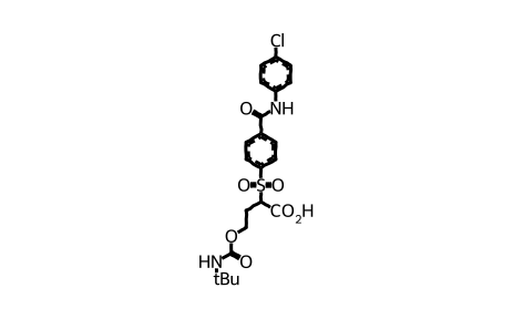 CC(C)(C)NC(=O)OCCC(C(=O)O)S(=O)(=O)c1ccc(C(=O)Nc2ccc(Cl)cc2)cc1